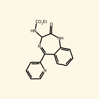 CCOC(=O)NC1N=C(c2ccccn2)c2ccccc2NC1=O